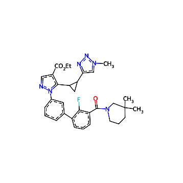 CCOC(=O)c1cnn(-c2cccc(-c3cccc(C(=O)N4CCCC(C)(C)C4)c3F)c2)c1C1CC1c1cn(C)nn1